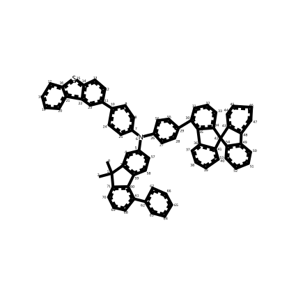 CC1(C)c2cc(N(c3ccc(-c4ccc5sc6ccccc6c5c4)cc3)c3ccc(-c4cccc5c4-c4ccccc4C54c5ccccc5-c5ccccc54)cc3)ccc2-c2c(-c3ccccc3)cccc21